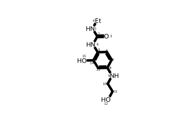 CCNC(=O)Nc1ccc(NCCO)cc1O